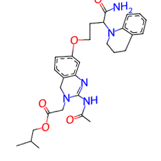 CC(=O)NC1=Nc2cc(OCCC(C(N)=O)N3CCCc4ccccc43)ccc2CN1CC(=O)OCC(C)C